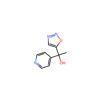 CC(O)(c1ccncc1)c1cnno1